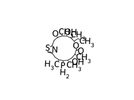 CCC1OC(=O)C(C)C(O)C(C)C(P)C(C)Cc2csc(n2)CC(=O)C(C)C(O)C1C